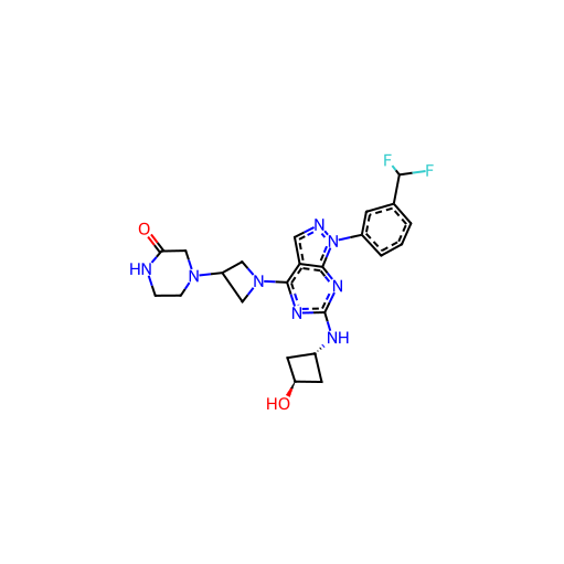 O=C1CN(C2CN(c3nc(N[C@H]4C[C@H](O)C4)nc4c3cnn4-c3cccc(C(F)F)c3)C2)CCN1